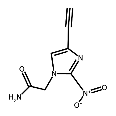 C#Cc1cn(CC(N)=O)c([N+](=O)[O-])n1